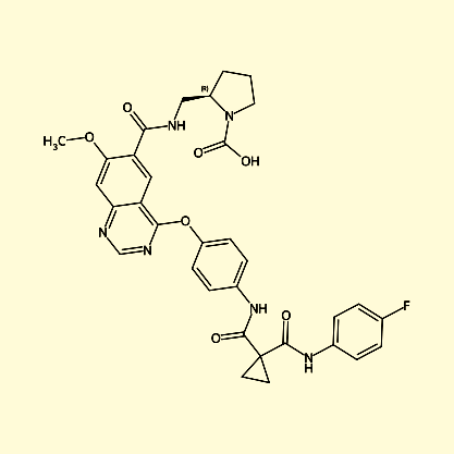 COc1cc2ncnc(Oc3ccc(NC(=O)C4(C(=O)Nc5ccc(F)cc5)CC4)cc3)c2cc1C(=O)NC[C@H]1CCCN1C(=O)O